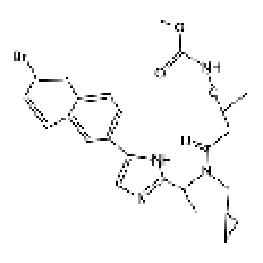 COC(=O)NCC(C)CC(=O)N1CC2(CC2)CC1c1ncc(-c2ccc3cc(Br)ccc3c2)[nH]1